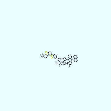 CC1(C)c2ccc(-c3ccc4c(c3)sc3c4ccc4sc5c6ccccc6ccc5c43)cc2-c2ccc(-c3c4ccccc4c(-c4cccc5ccccc45)c4ccccc34)cc21